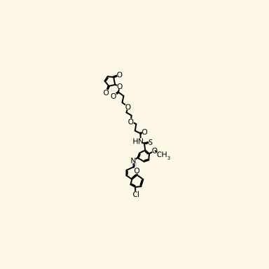 COc1ccc(/N=c2/ccc3cc(Cl)ccc3o2)cc1C(=S)NC(=O)CCOCCOCCC(=O)OC1C(=O)C=CC1=O